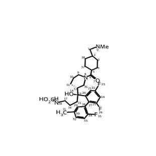 CNCC1CCC(C(=O)N2CCC[C@@H]([C@@](O)(CCCNC(=O)O)c3cc(F)cc(F)c3-c3cc(C)ccc3F)C2)CC1